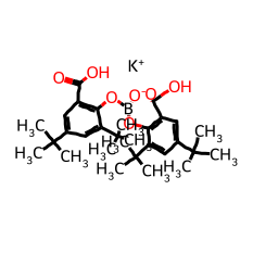 CC(C)(C)c1cc(C(=O)O)c(OB([O-])Oc2c(C(=O)O)cc(C(C)(C)C)cc2C(C)(C)C)c(C(C)(C)C)c1.[K+]